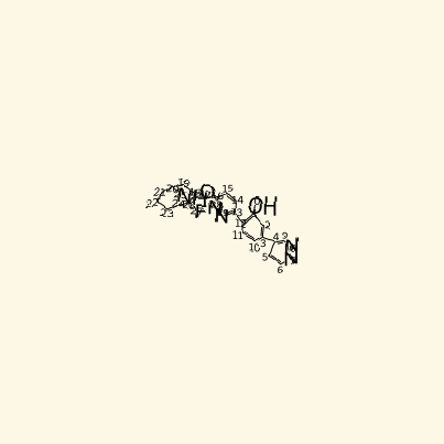 Oc1cc(-c2ccnnc2)ccc1-c1ccc(O[C@H]2CC3CCCC(N3)[C@H]2F)nn1